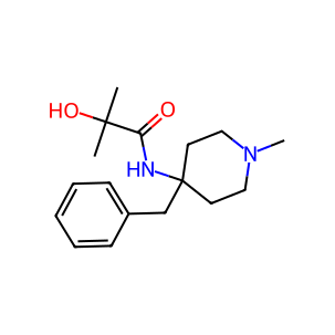 CN1CCC(Cc2ccccc2)(NC(=O)C(C)(C)O)CC1